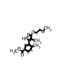 COCCOc1n[nH]c(-c2cc(C(=O)OC)ccc2C)c1C